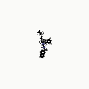 C=C(C)C(=O)OCCOC(=O)/C(=C/C=C1\Oc2cc3ccccc3cc2N1C)S(=O)(=O)c1ccccc1